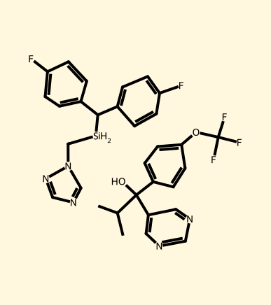 CC(C)C(O)(c1ccc(OC(F)(F)F)cc1)c1cncnc1.Fc1ccc(C([SiH2]Cn2cncn2)c2ccc(F)cc2)cc1